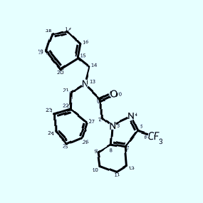 O=C(Cn1nc(C(F)(F)F)c2c1CCCC2)N(Cc1ccccc1)Cc1ccccc1